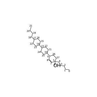 CCCCCC1(O)C=CC(C2CCC(C3CCC(CCCC)CC3)CC2)CC1